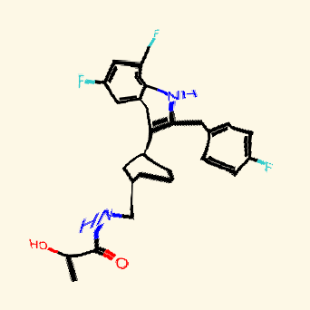 CC(O)C(=O)NC[C@H]1C[C@@H](c2c(-c3ccc(F)cc3)[nH]c3c(F)cc(F)cc32)C1